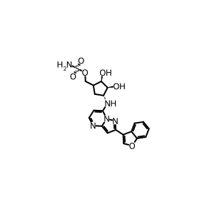 NS(=O)(=O)OCC1C[C@@H](Nc2ccnc3cc(-c4coc5ccccc45)nn23)[C@H](O)[C@@H]1O